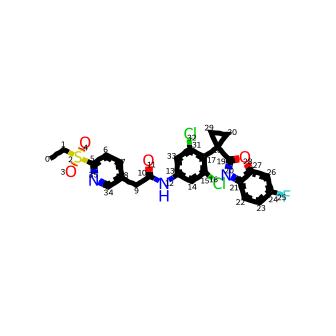 CCS(=O)(=O)c1ccc(CC(=O)Nc2cc(Cl)c(C3(c4nc5ccc(F)cc5o4)CC3)c(Cl)c2)cn1